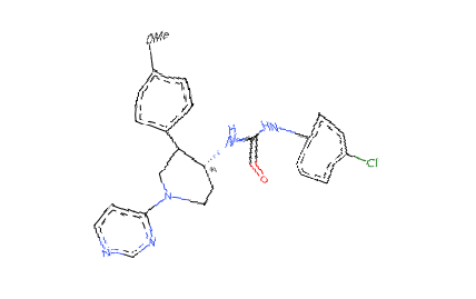 COc1ccc(C2CN(c3ccncn3)CC[C@H]2NC(=O)Nc2ccc(Cl)cc2)cc1